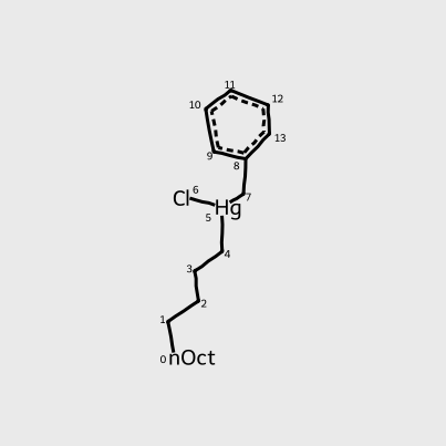 CCCCCCCCCCC[CH2][Hg]([Cl])[CH2]c1ccccc1